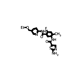 CCOCc1ccc(NC(=O)c2cc(NC(=O)c3cnc(N)s3)c(C)cc2F)nc1